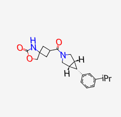 CC(C)c1cccc([C@@H]2[C@@H]3CN(C(=O)C4CC5(COC(=O)N5)C4)C[C@@H]32)c1